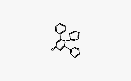 O=c1cc(-c2ccccc2)p(-c2ccccc2)c(-c2ccccc2)c1